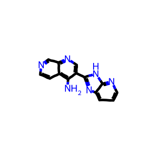 Nc1c(-c2nc3cccnc3[nH]2)cnc2cnccc12